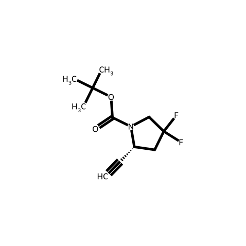 C#C[C@H]1CC(F)(F)CN1C(=O)OC(C)(C)C